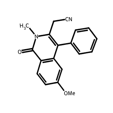 COc1ccc2c(=O)n(C)c(CC#N)c(-c3ccccc3)c2c1